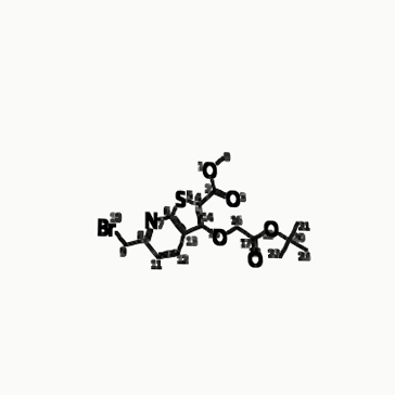 COC(=O)c1sc2nc(CBr)ccc2c1OCC(=O)OC(C)(C)C